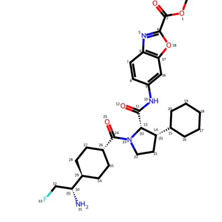 COC(=O)c1nc2ccc(NC(=O)[C@@H]3[C@H](C4CCCCC4)CCN3C(=O)[C@H]3CC[C@H]([C@H](N)CF)CC3)cc2o1